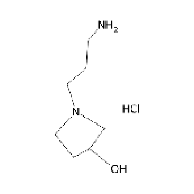 Cl.NCCCN1CCC(O)C1